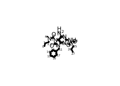 CCCN(C)C(=O)n1c(=O)n(Cc2ccccc2)c2nc(NS(=O)(=O)CCC)nc(N)c21